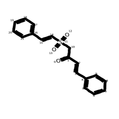 O=C(/C=C/c1ccccc1)CS(=O)(=O)C=Cc1ccccc1